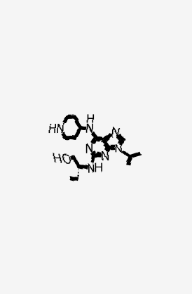 CC[C@H](CO)Nc1nc(NC2CCNCC2)c2ncn(C(C)C)c2n1